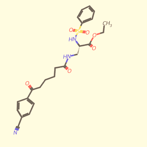 CCOC(=O)[C@H](CNC(=O)CCCCC(=O)c1ccc(C#N)cc1)NS(=O)(=O)c1ccccc1